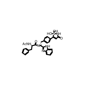 CC(=O)N[C@@H](Cc1ccccc1)C(=O)N[C@H](Cc1ccc(C2=CC(=O)NS2(O)O)cc1)c1nc2ccccc2[nH]1